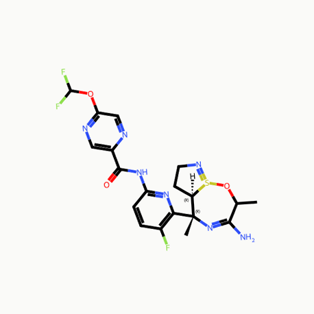 CC1OS2=NCC[C@@H]2[C@@](C)(c2nc(NC(=O)c3cnc(OC(F)F)cn3)ccc2F)N=C1N